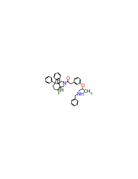 CC(CNCc1ccccc1)Oc1cccc(CC(=O)N2C[C@@H]3[C@H](F)CCC(c4ccccc4)(c4ccccc4)[C@@H]3C2)c1